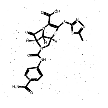 Cc1nnc(SC2=C(C(=O)O)N3C(=O)[C@@H]4[C@H]3[C@H](C2)CN4C(=O)Nc2ccc(C(N)=O)cc2)s1